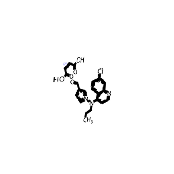 CCCN(c1ccnc2cc(Cl)ccc12)n1ccc(C=O)c1.O=C(O)/C=C\C(=O)O